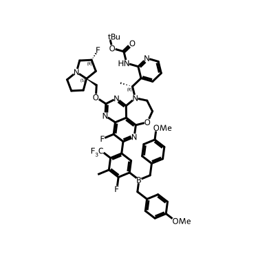 COc1ccc(CB(Cc2ccc(OC)cc2)c2cc(-c3nc4c5c(nc(OC[C@@]67CCCN6C[C@H](F)C7)nc5c3F)N([C@H](C)c3cccnc3NC(=O)OC(C)(C)C)CCO4)c(C(F)(F)F)c(C)c2F)cc1